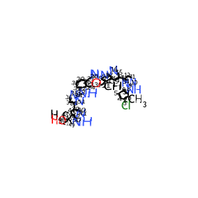 Cc1c(Cl)cccc1Nc1nccc(-c2cnc3c(c2)C(C)(COCc2c(C#N)cccc2Nc2nccc(-c4cnc5c(c4)C(C)(CO)CN5)n2)CN3)n1